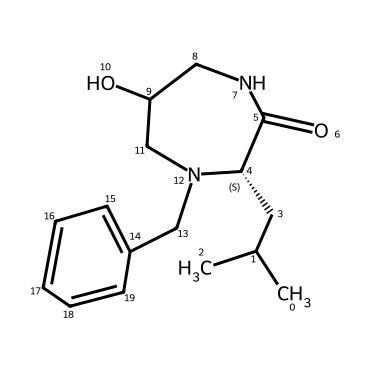 CC(C)C[C@H]1C(=O)NCC(O)CN1Cc1ccccc1